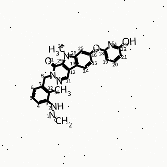 C=NNc1cccc(Cn2ncc3c4ccc(Oc5cccc(O)n5)cc4n(C)c3c2=O)c1C